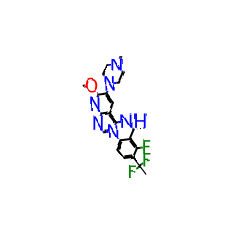 COc1nc2ncnc(N[C@H](C)c3cccc(C(C)(F)F)c3F)c2cc1N1CCN(C)CC1